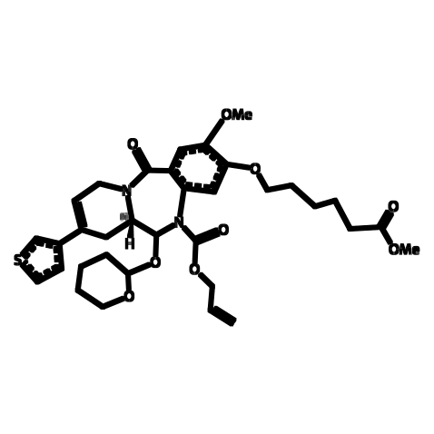 C=CCOC(=O)N1c2cc(OCCCCCC(=O)OC)c(OC)cc2C(=O)N2CC=C(c3ccsc3)C[C@H]2C1OC1CCCCO1